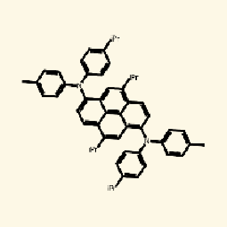 Cc1ccc(N(c2ccc(C(C)C)cc2)c2ccc3c(C(C)C)cc4c(N(c5ccc(C)cc5)c5ccc(C(C)C)cc5)ccc5c(C(C)C)cc2c3c54)cc1